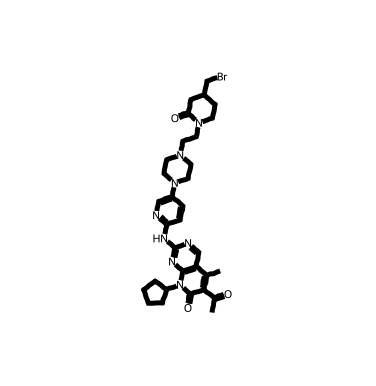 CC(=O)c1c(C)c2cnc(Nc3ccc(N4CCN(CCN5CCC(CBr)CC5=O)CC4)cn3)nc2n(C2CCCC2)c1=O